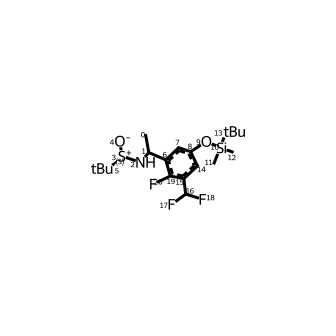 CC(N[S@+]([O-])C(C)(C)C)c1cc(O[Si](C)(C)C(C)(C)C)cc(C(F)F)c1F